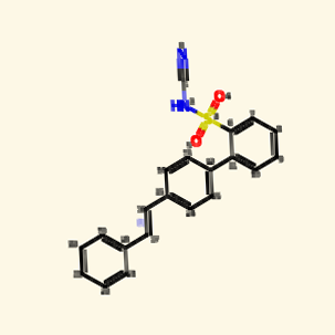 N#CNS(=O)(=O)c1ccccc1-c1ccc(/C=C/c2ccccc2)cc1